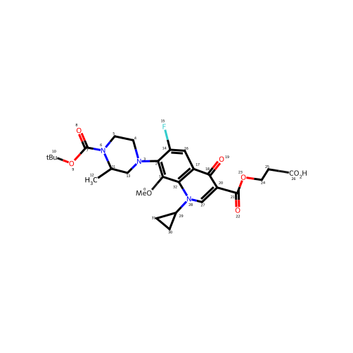 COc1c(N2CCN(C(=O)OC(C)(C)C)C(C)C2)c(F)cc2c(=O)c(C(=O)OCCC(=O)O)cn(C3CC3)c12